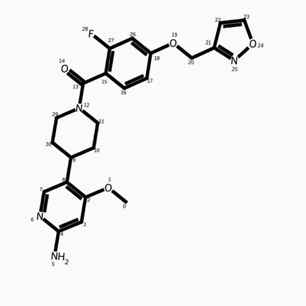 COc1cc(N)ncc1C1CCN(C(=O)c2ccc(OCc3ccon3)cc2F)CC1